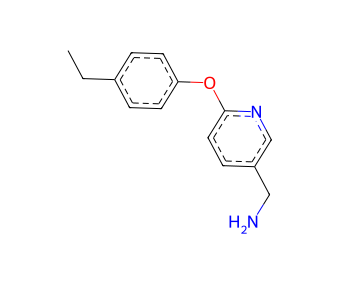 CCc1ccc(Oc2ccc(CN)cn2)cc1